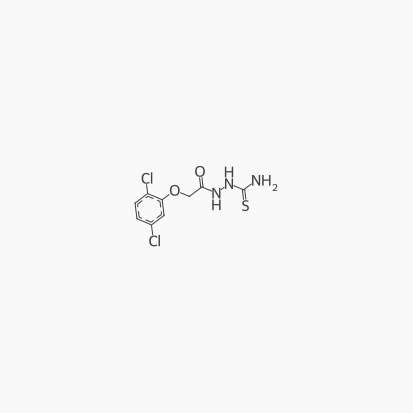 NC(=S)NNC(=O)COc1cc(Cl)ccc1Cl